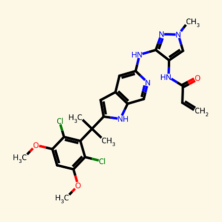 C=CC(=O)Nc1cn(C)nc1Nc1cc2cc(C(C)(C)c3c(Cl)c(OC)cc(OC)c3Cl)[nH]c2cn1